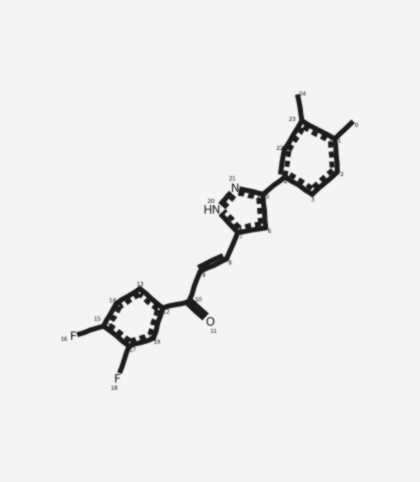 Cc1ccc(-c2cc(/C=C/C(=O)c3ccc(F)c(F)c3)[nH]n2)cc1C